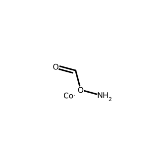 NOC=O.[Co]